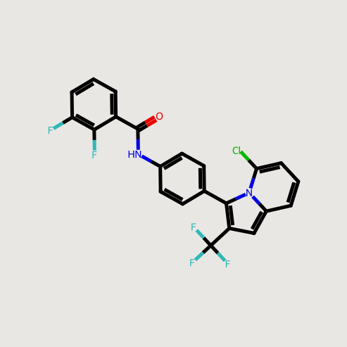 O=C(Nc1ccc(-c2c(C(F)(F)F)cc3cccc(Cl)n23)cc1)c1cccc(F)c1F